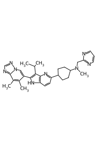 Cc1c(-c2[nH]c3ccc(C4CCC(N(C)Cc5ncccn5)CC4)nc3c2C(C)C)cn2ncnc2c1C